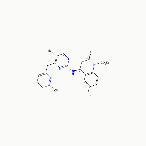 CCOC(=O)N1c2ccc(C(F)(F)F)cc2[C@@H](Nc2ncc(C#N)c(Cc3cccc(C#N)n3)n2)C[C@H]1CC